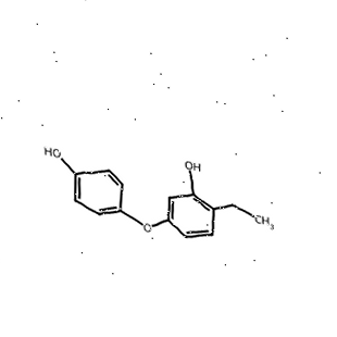 CCc1ccc(Oc2ccc(O)cc2)cc1O